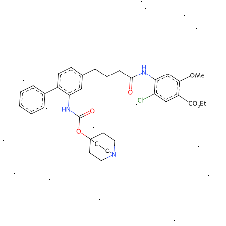 CCOC(=O)c1cc(Cl)c(NC(=O)CCCc2ccc(-c3ccccc3)c(NC(=O)OC34CCN(CC3)CC4)c2)cc1OC